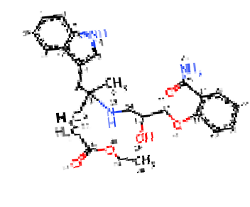 CC(C)(Cc1c[nH]c2ccccc12)NCC(O)COc1ccccc1C(N)=O.CCOC(C)=O